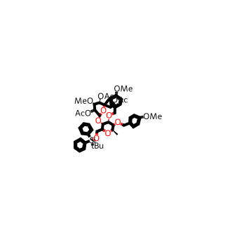 C=CC1(COC(C)=O)O[C@@H](O[C@@H]2C(CO[Si](c3ccccc3)(c3ccccc3)C(C)(C)C)O[C@H](C)C(OCc3ccc(OC)cc3)[C@H]2OCc2ccc(OC)cc2)C(OC(C)=O)[C@@H](OC)[C@@H]1OC(C)=O